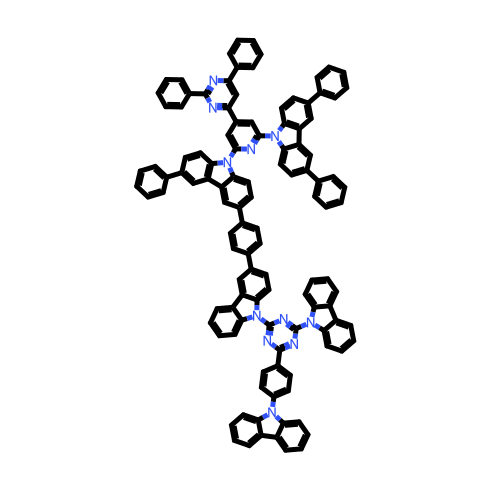 c1ccc(-c2ccc3c(c2)c2cc(-c4ccccc4)ccc2n3-c2cc(-c3cc(-c4ccccc4)nc(-c4ccccc4)n3)cc(-n3c4ccc(-c5ccccc5)cc4c4cc(-c5ccc(-c6ccc7c(c6)c6ccccc6n7-c6nc(-c7ccc(-n8c9ccccc9c9ccccc98)cc7)nc(-n7c8ccccc8c8ccccc87)n6)cc5)ccc43)n2)cc1